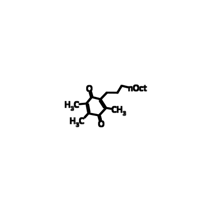 CCCCCCCCCCCC1=C(C)C(=O)C(C)=C(C)C1=O